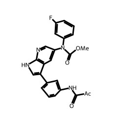 COC(=O)N(c1cccc(F)c1)c1cnc2[nH]cc(-c3cccc(NC(=O)C(C)=O)c3)c2c1